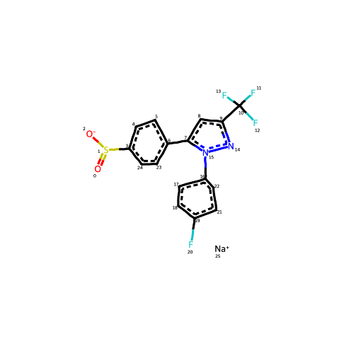 O=S([O-])c1ccc(-c2cc(C(F)(F)F)nn2-c2ccc(F)cc2)cc1.[Na+]